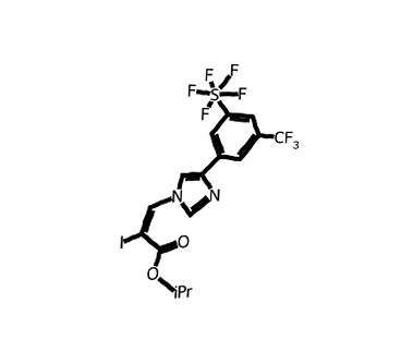 CC(C)OC(=O)/C(I)=C\n1cnc(-c2cc(C(F)(F)F)cc(S(F)(F)(F)(F)F)c2)c1